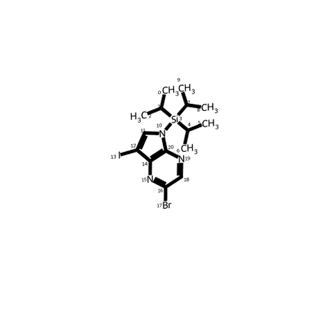 CC(C)[Si](C(C)C)(C(C)C)n1cc(I)c2nc(Br)cnc21